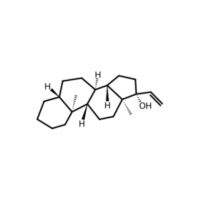 C=C[C@]1(O)CC[C@H]2[C@@H]3CC[C@H]4CCCC[C@]4(C)[C@H]3CC[C@@]21C